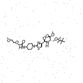 COCCOCC(=O)NC1CCN(c2nc(C(=O)N[C@@H](CO[Si](C)(C)C(C)(C)C)C(=O)OC)cs2)CC1